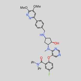 COc1cc(-c2ccc(CN[C@H]3C[C@@H](O)[C@@H](N(C)c4ncncc4Oc4ccc(F)cc4C(=O)N(C(C)C)C(C)C)C3)cc2)nnc1OC